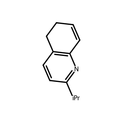 CC(C)c1ccc2c(n1)C=CCC2